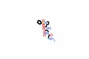 NCC(=O)NCC(NC(=O)C1CCCN1S(=O)(=O)c1ccccc1)C(=O)O